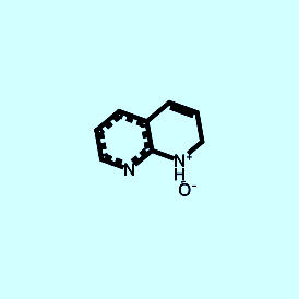 [O-][NH+]1CC=Cc2cccnc21